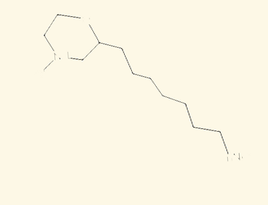 CCCCCCCCCCCCCCCCC1C[NH+]([O-])CCO1